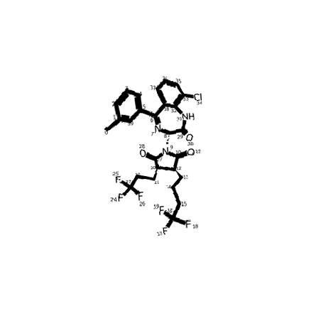 Cc1cccc(C2=N[C@@H](N3C(=O)[C@@H](CCCC(F)(F)F)[C@@H](CCC(F)(F)F)C3=O)C(=O)Nc3c(Cl)cccc32)c1